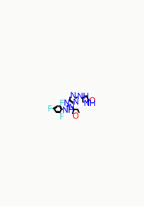 O=C1C[C@H](Nc2ncc3nc(Nc4c(F)cc(F)cc4F)n(C4CCOC4)c3n2)CN1